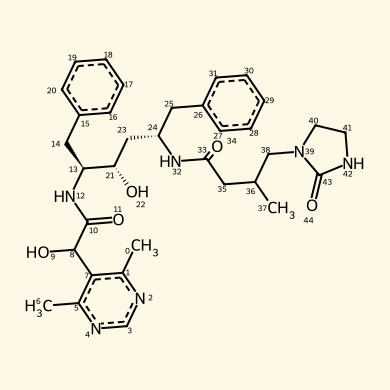 Cc1ncnc(C)c1C(O)C(=O)N[C@@H](Cc1ccccc1)[C@@H](O)C[C@H](Cc1ccccc1)NC(=O)CC(C)CN1CCNC1=O